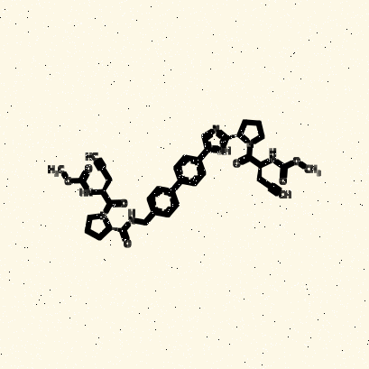 C#CC[C@H](NC(=O)OC)C(=O)N1CCC[C@H]1C(=O)NCc1ccc(-c2ccc(-c3cnc([C@@H]4CCCN4C(=O)[C@H](CC#C)NC(=O)OC)[nH]3)cc2)cc1